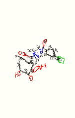 Cc1cc(O)c(=O)c(O)cc1C(=O)N1CCN(C(=O)c2ccc(Cl)cc2)CC1